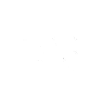 CCOC(=O)C1CN(C2CC2)c2nc(Cl)ncc2C1=O